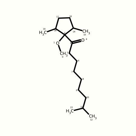 COC1(C(=O)CCCCCCC(C)C)C(C)CCC1C